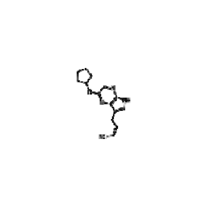 N#C/C=C\Cc1c[nH]c2ncc(OC3CCCC3)nc12